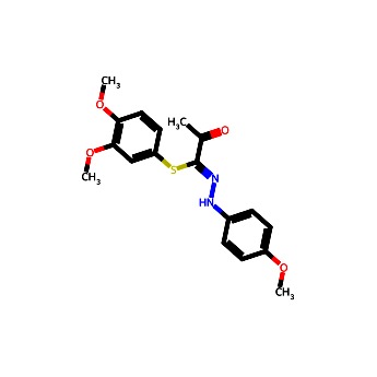 COc1ccc(NN=C(Sc2ccc(OC)c(OC)c2)C(C)=O)cc1